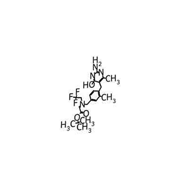 Cc1cc(CN(CC(=O)OC(C)(C)C)CC(F)(F)F)ccc1Cc1c(C)nc(N)nc1O